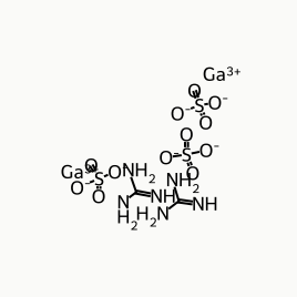 N=C(N)N.N=C(N)N.O=S(=O)([O-])[O-].O=S(=O)([O-])[O-].O=S(=O)([O-])[O-].[Ga+3].[Ga+3]